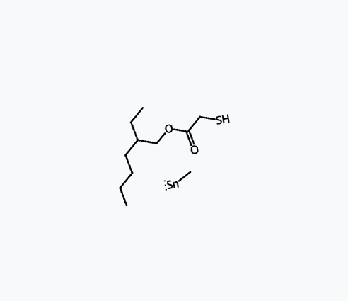 CCCCC(CC)COC(=O)CS.[CH3][Sn]